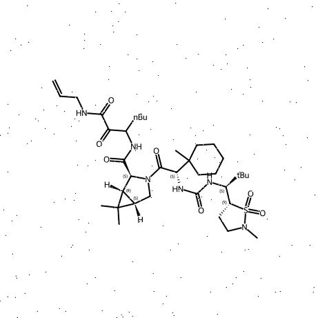 C=CCNC(=O)C(=O)C(CCCC)NC(=O)[C@@H]1[C@@H]2[C@H](CN1C(=O)[C@@H](NC(=O)N[C@H]([C@H]1CCN(C)S1(=O)=O)C(C)(C)C)C1(C)CCCCC1)C2(C)C